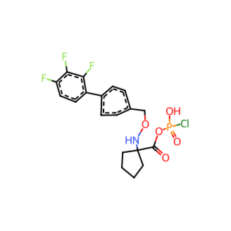 O=C(OP(=O)(O)Cl)C1(NOCc2ccc(-c3ccc(F)c(F)c3F)cc2)CCCC1